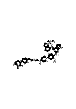 COc1cc(N2CCC(NCCNCCc3ccc(C4CCC(=O)NC4=O)cc3)CC2)ccc1Nc1nc(Nc2cccc3c2N(S(C)(=O)=O)CC3)c2cc[nH]c2n1